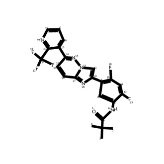 CC(C)(C)C(=O)Nc1cc(-c2cn3nc(-c4cccnc4C(F)(F)F)ccc3n2)c(F)cc1F